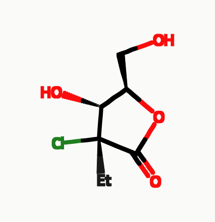 CC[C@]1(Cl)C(=O)O[C@H](CO)[C@H]1O